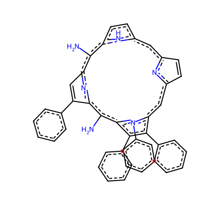 Nc1c2nc(c(N)c3c(-c4ccccc4)c(-c4ccccc4)c(cc4nc(cc5ccc1[nH]5)C=C4)n3-c1ccccc1)C(c1ccccc1)=C2